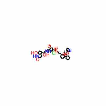 COc1cc(C(=O)OCCCc2cccc(C3(C(=O)O[C@H]4CN5CCC4CC5)CCCCC3)c2)c(Cl)cc1CNC[C@@H](O)c1ccc(O)c2[nH]c(=O)ccc12